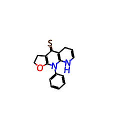 S=c1c2c(n(-c3ccccc3)c3c1CCO3)NC=CC2